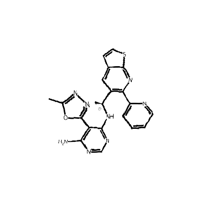 Cc1nnc(-c2c(N)ncnc2N[C@@H](C)c2cc3ccsc3nc2-c2ccccn2)o1